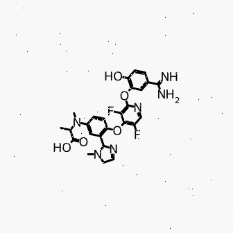 CC(C(=O)O)N(C)c1ccc(Oc2c(F)cnc(Oc3cc(C(=N)N)ccc3O)c2F)c(C2N=CCN2C)c1